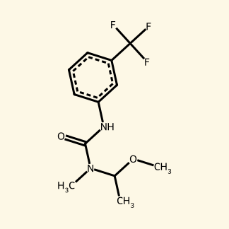 COC(C)N(C)C(=O)Nc1cccc(C(F)(F)F)c1